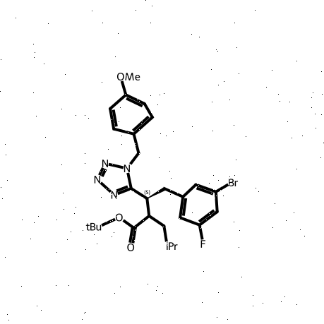 COc1ccc(Cn2nnnc2[C@@H](Cc2cc(F)cc(Br)c2)C(CC(C)C)C(=O)OC(C)(C)C)cc1